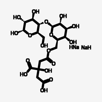 O=C(O)CC(O)(CC(=O)OC[C@H]1O[C@@H](O[C@H]2[C@H](O)[C@@H](O)[C@@H](O)O[C@@H]2CO)[C@H](O)[C@@H](O)[C@H]1O)C(=O)O.[NaH].[NaH]